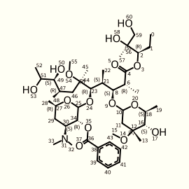 CC[C@@H](OC(=O)[C@H](C)[C@@H](OC1C[C@@](C)(OC)[C@@H](O)[C@H](C)O1)[C@H](C)[C@@H](OC1O[C@H](C)C[C@H](N(C)C)[C@H]1OC(=O)c1ccccc1)[C@@](C)(C[C@@H](C)[C@H](O)C(C)O)OC)[C@@](C)(O)CO